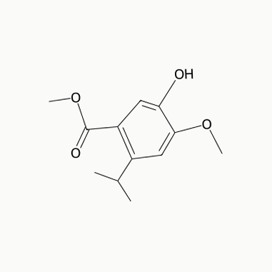 COC(=O)c1cc(O)c(OC)cc1C(C)C